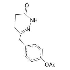 CC(=O)Oc1ccc(CC2=NNC(=O)CC2)cc1